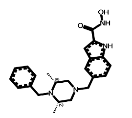 C[C@@H]1CN(Cc2ccc3[nH]c(C(=O)NO)cc3c2)C[C@H](C)N1Cc1ccccc1